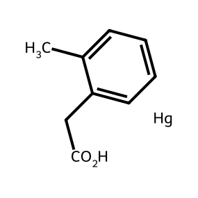 Cc1ccccc1CC(=O)O.[Hg]